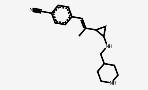 C/C(=C\c1ccc(C#N)cc1)C1CC1NCC1CCNCC1